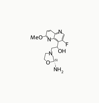 COc1ccc2ncc(F)c(C(O)CN3CCO[C@@H](CN)C3)c2n1